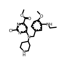 CCNc1cc(CN(c2cc(C(=O)OC)nc(Cl)n2)C2CCNCC2)ccc1OC